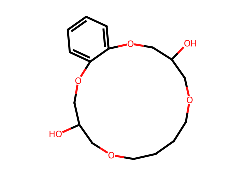 OC1COCCCCOCC(O)COc2ccccc2OC1